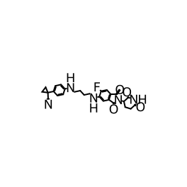 N#CC1(c2ccc(NCCCCNc3cc4c(cc3F)C(=O)N(C3CCC(=O)NC3=O)C4=O)cc2)CC1